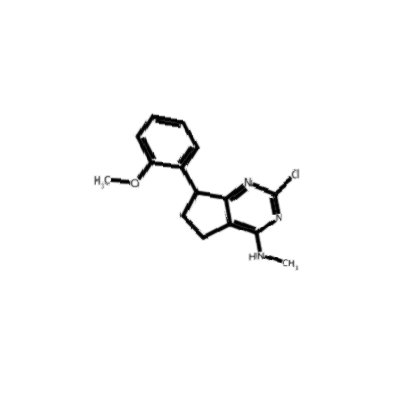 CNc1nc(Cl)nc2c1CCC2c1ccccc1OC